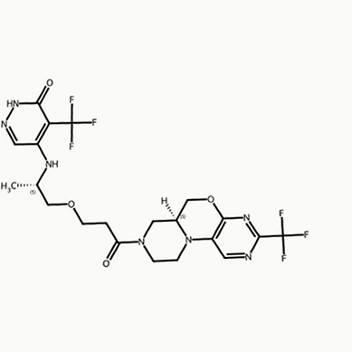 C[C@@H](COCCC(=O)N1CCN2c3cnc(C(F)(F)F)nc3OC[C@@H]2C1)Nc1cn[nH]c(=O)c1C(F)(F)F